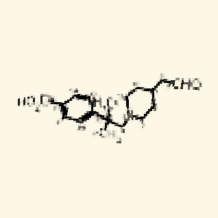 CC(C)(CN1CCC(CC=O)CC1)c1ccc(C(=O)O)cc1